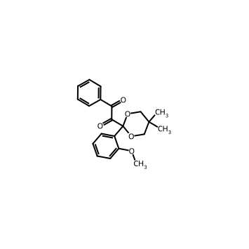 COc1ccccc1C1(C(=O)C(=O)c2ccccc2)OCC(C)(C)CO1